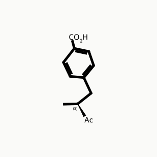 CC(=O)[C@@H](C)Cc1ccc(C(=O)O)cc1